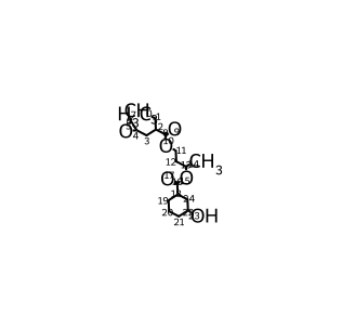 CCC(CC1OC1C)C(=O)OCCC(C)OC(=O)C1CCCC(O)C1